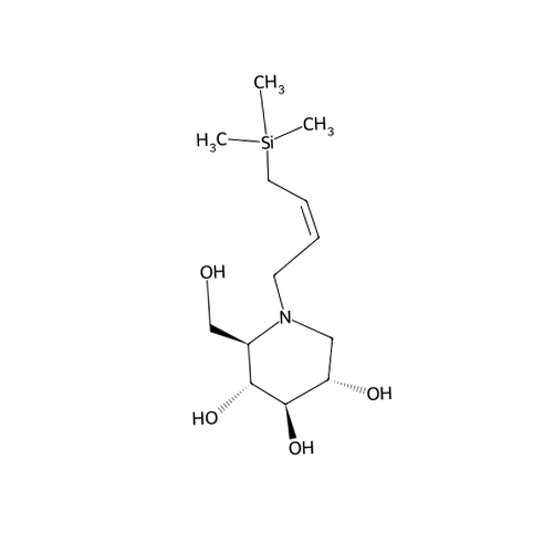 C[Si](C)(C)C/C=C\CN1C[C@H](O)[C@@H](O)[C@H](O)[C@H]1CO